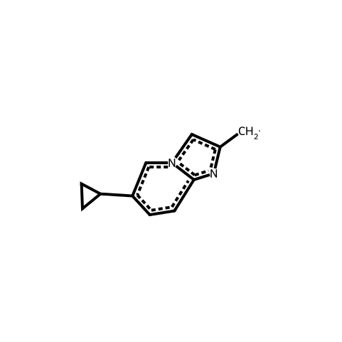 [CH2]c1cn2cc(C3CC3)ccc2n1